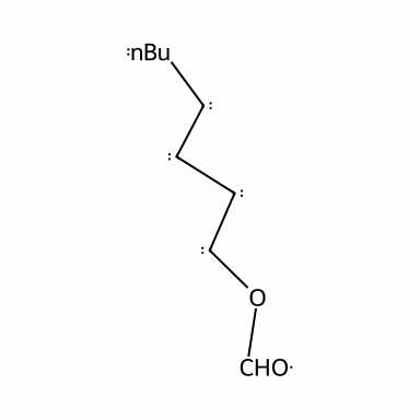 CC[CH][C][C][C][C][C]O[C]=O